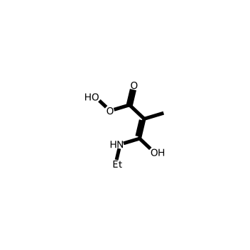 CCNC(O)=C(C)C(=O)OO